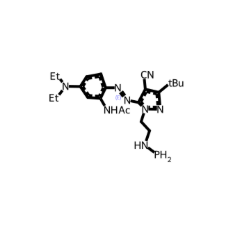 CCN(CC)c1ccc(/N=N/c2c(C#N)c(C(C)(C)C)nn2CCNP)c(NC(C)=O)c1